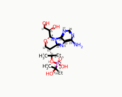 CCC(C)(OP(=O)(O)C(C)(O)CC)[C@@H]1CO[C@H]([C@H](O)CO)n2c1nc1c(N)ncnc12